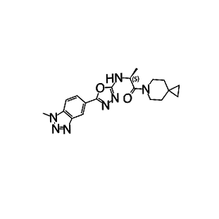 C[C@H](Nc1nnc(-c2ccc3c(c2)nnn3C)o1)C(=O)N1CCC2(CC1)CC2